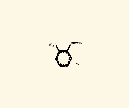 CCCCOc1ccccc1C(=O)O.[Zn]